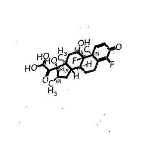 C[C@@H]1C[C@H]2[C@@H]3CCC4=C(F)C(=O)C=C[C@]4(C)[C@@]3(F)[C@@H](O)C[C@]2(C)[C@@]1(O)C(=O)C(O)O